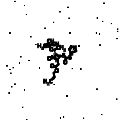 C=CCOC(=O)CN1C(=O)[C@H](C(C)O[Si](C)(C)C)[C@H]1SC(=O)Sn1ccnc1